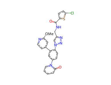 COc1cc(-c2cc(-n3ccccc3=O)ccc2-n2cc(CNC(=O)c3ccc(Cl)s3)nn2)ccn1